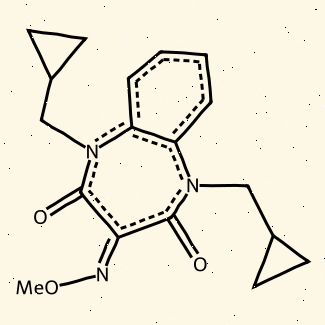 CON=c1c(=O)n(CC2CC2)c2ccccc2n(CC2CC2)c1=O